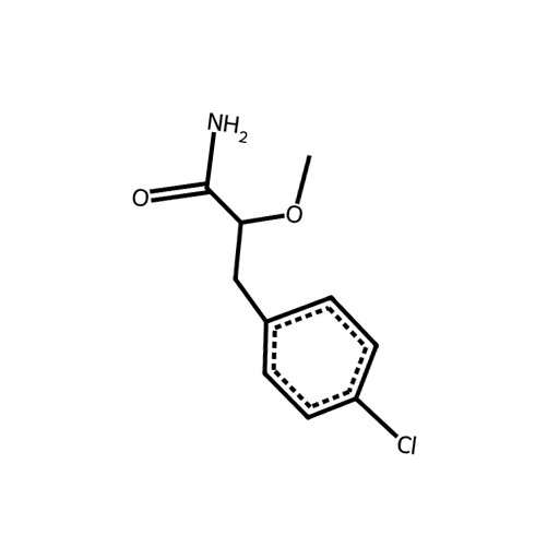 COC(Cc1ccc(Cl)cc1)C(N)=O